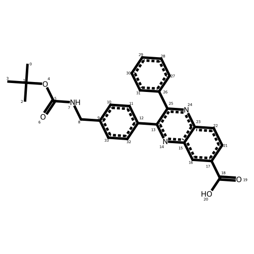 CC(C)(C)OC(=O)NCc1ccc(-c2nc3cc(C(=O)O)ccc3nc2-c2ccccc2)cc1